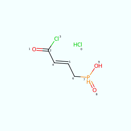 Cl.O=C(Cl)C=CC[PH](=O)O